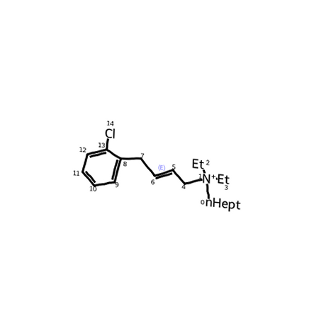 CCCCCCC[N+](CC)(CC)C/C=C/Cc1ccccc1Cl